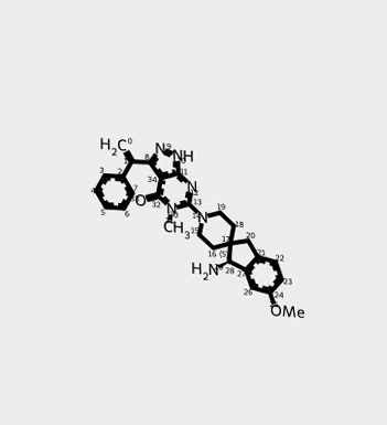 C=C(c1ccccc1)c1n[nH]c2nc(N3CCC4(CC3)Cc3ccc(OC)cc3[C@H]4N)n(C)c(=O)c12